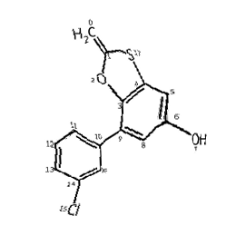 C=C1Oc2c(cc(O)cc2-c2cccc(Cl)c2)S1